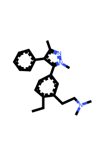 CCc1ccc(-c2c(-c3ccccc3)c(C)nn2C)cc1CCN(C)C